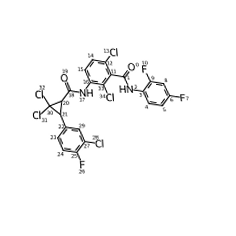 O=C(Nc1ccc(F)cc1F)c1c(Cl)ccc(NC(=O)C2C(c3ccc(F)c(Cl)c3)C2(Cl)Cl)c1Cl